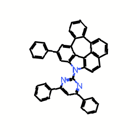 c1ccc(-c2cc3c4c5c6c(cccc6ccc5n(-c5nc(-c6ccccc6)cc(-c6ccccc6)n5)c4c2)-c2ccccc2-3)cc1